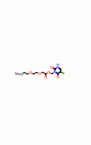 COCCOCCOCC(=O)OCn1c(=O)[nH]cc(F)c1=O